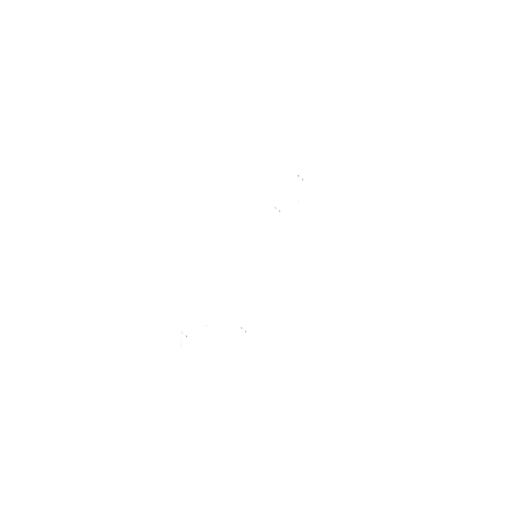 Cc1ccccc1NC(=O)Nc1ccc(CC(=O)NC(CC(C)C)C(=O)NC(C)CCC(=O)O)cc1